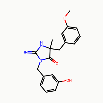 COc1cccc(CC2(C)NC(=N)N(Cc3cccc(O)c3)C2=O)c1